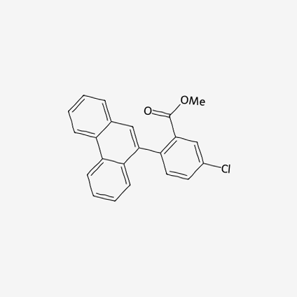 COC(=O)c1cc(Cl)ccc1-c1cc2ccccc2c2ccccc12